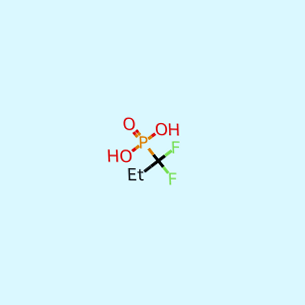 CCC(F)(F)P(=O)(O)O